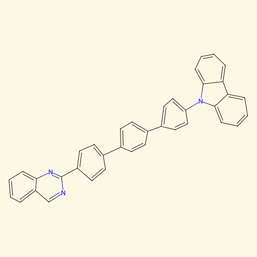 c1ccc2nc(-c3ccc(-c4ccc(-c5ccc(-n6c7ccccc7c7ccccc76)cc5)cc4)cc3)ncc2c1